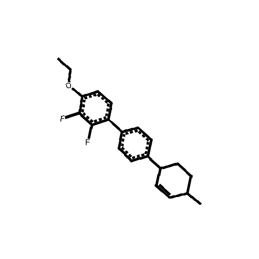 CCOc1ccc(-c2ccc(C3C=CC(C)CC3)cc2)c(F)c1F